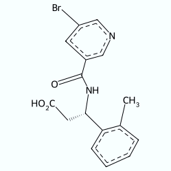 Cc1ccccc1[C@H](CC(=O)O)NC(=O)c1cncc(Br)c1